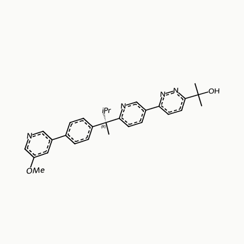 COc1cncc(-c2ccc([C@](C)(c3ccc(-c4ccc(C(C)(C)O)nn4)cn3)C(C)C)cc2)c1